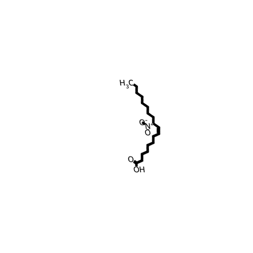 CCCCCCCCC(/C=C\CCCCCCC(=O)O)[N+](=O)[O-]